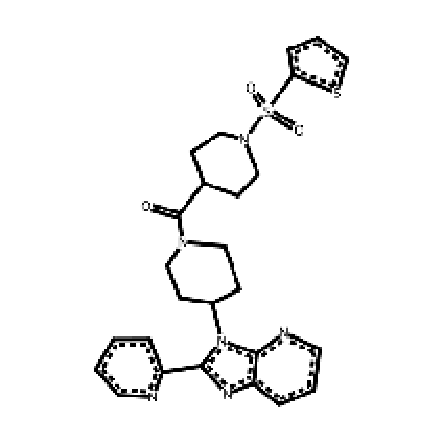 O=C(C1CCN(S(=O)(=O)c2cccs2)CC1)N1CCC(n2c(-c3ccccn3)nc3cccnc32)CC1